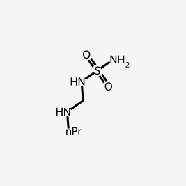 CCCNCNS(N)(=O)=O